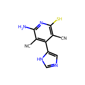 N#Cc1c(N)nc(S)c(C#N)c1-c1cnc[nH]1